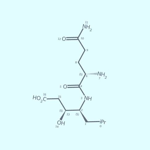 CC(C)C[C@H](NC(=O)[C@@H](N)CCC(N)=O)[C@@H](O)CC(=O)O